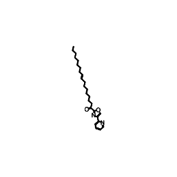 CCCCCCCC/C=C/CCCCCCCC(=O)c1nc(-c2ccccn2)co1